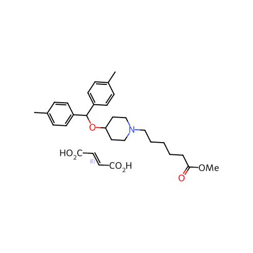 COC(=O)CCCCCN1CCC(OC(c2ccc(C)cc2)c2ccc(C)cc2)CC1.O=C(O)/C=C/C(=O)O